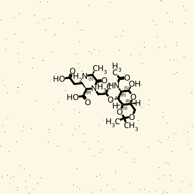 CC(=O)N[C@@H]1[C@@H](OC(C)CN(C(=O)[C@H](C)N)[C@H](CCC(=O)O)C(=O)O)[C@@H]2OC(C)(C)OC[C@H]2O[C@@H]1O